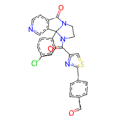 O=Cc1ccc(-c2nc(C(=O)N3CCN4C(=O)c5ccncc5C34c3ccc(Cl)cc3)cs2)cc1